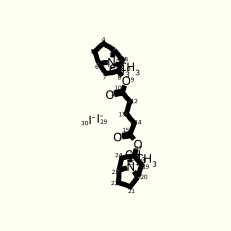 C[N+]1(C)C2CCC1CC(OC(=O)CCCC(=O)OC1CC3CCC(C1)[N+]3(C)C)C2.[I-].[I-]